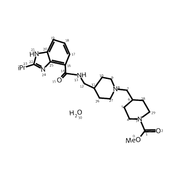 COC(=O)N1CCC(CN2CCC(CNC(=O)c3cccc4[nH]c(C(C)C)nc34)CC2)CC1.O